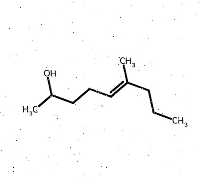 CCCC(C)=CCCC(C)O